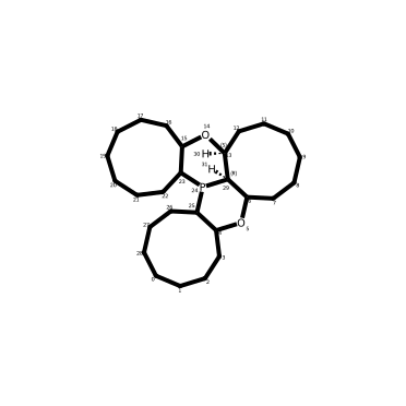 C1CCCC2OC3CCCCCC[C@@H]4OC5CCCCCCCC5P(C2CCC1)[C@H]34